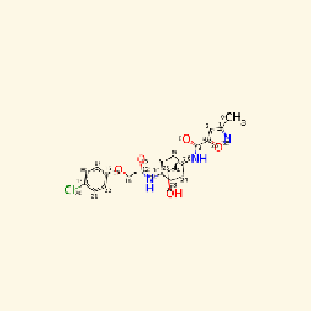 Cc1cc(C(=O)NC23CCC(NC(=O)COc4ccc(Cl)cc4)(CC2)C(O)C3)on1